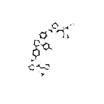 COC(=O)N[C@H](C(=O)N1CCC[C@H]1C(=O)Nc1ccc([C@H]2CC[C@H](c3ccc(NC(=O)[C@@H]4CCCN4C(=O)[C@@H](NC(=O)OC)[C@@H]4CCOC4)cc3)N2c2ccc(F)cc2)cc1)[C@@H]1CCOC1